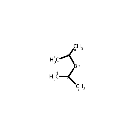 CC(C)[B]C(C)C